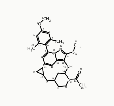 COc1cc(C)c(-c2cccc3c(NC4CC(CC5CC5)CCN4C(C)=O)c(SC)nn23)c(C)c1